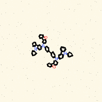 c1ccc(-n2c3ccccc3c3cc(N(c4ccc(-c5ccc(N(c6ccc7oc8ccccc8c7c6)c6ccc7c(c6)c6ccccc6n7-c6ccccc6)cc5)cc4)c4ccc5oc6ccccc6c5c4)ccc32)cc1